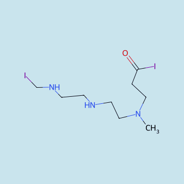 CN(CCNCCNCI)CCC(=O)I